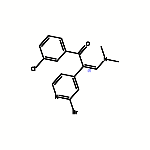 CN(C)/C=C(\C(=O)c1cccc(Cl)c1)c1ccnc(Br)c1